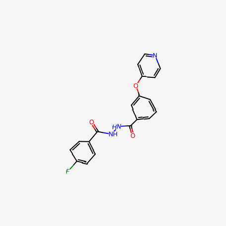 O=C(NNC(=O)c1cccc(Oc2ccncc2)c1)c1ccc(F)cc1